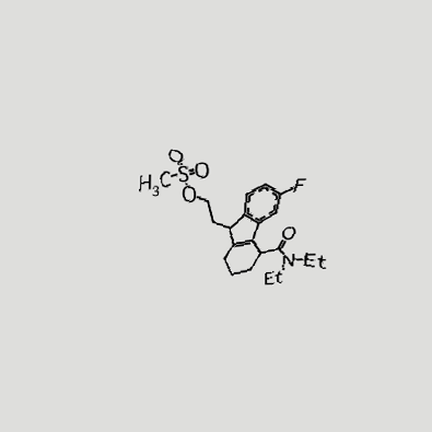 CCN(CC)C(=O)C1CCCC2=C1c1cc(F)ccc1C2CCOS(C)(=O)=O